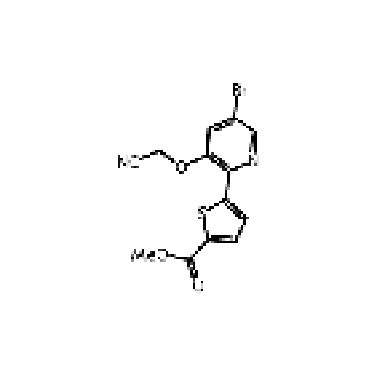 COC(=O)c1ccc(-c2ncc(Br)cc2OCC#N)s1